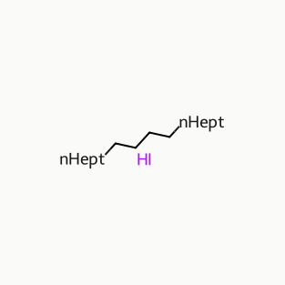 CCCCCCCCCCCCCCCCCC.I